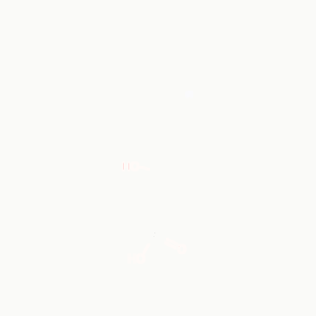 CC/C=C\CCC(O)CCC(=O)O